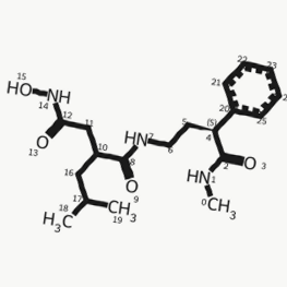 CNC(=O)[C@@H](CCNC(=O)C(CC(=O)NO)CC(C)C)c1ccccc1